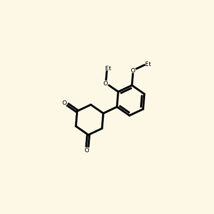 CCOc1cccc(C2CC(=O)CC(=O)C2)c1OCC